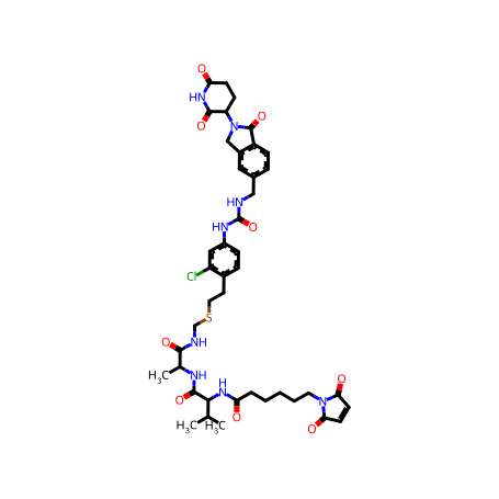 CC(NC(=O)C(NC(=O)CCCCCN1C(=O)C=CC1=O)C(C)C)C(=O)NCSCCc1ccc(NC(=O)NCc2ccc3c(c2)CN(C2CCC(=O)NC2=O)C3=O)cc1Cl